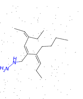 C\C=C(/C=C(CNN)\C(=C/CC)CCCC)CC